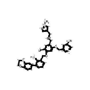 Cc1c(COc2cc(OCc3cncc(C#N)c3)c(CNCc3cnn(C)c3)cc2Cl)cccc1-c1ccc2c(c1)OCCO2